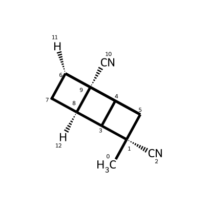 C[C@@]1(C#N)C2C3C1[C@@H]1C[C@H]2[C@]31C#N